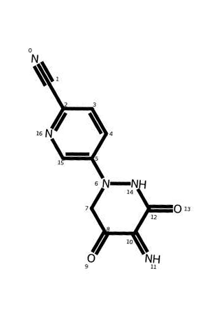 N#Cc1ccc(N2CC(=O)C(=N)C(=O)N2)cn1